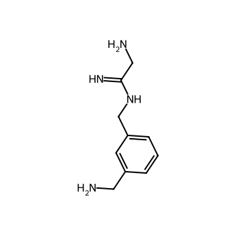 N=C(CN)NCc1cccc(CN)c1